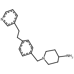 NC1CCN(Cc2ccc(CCc3cccnc3)cc2)CC1